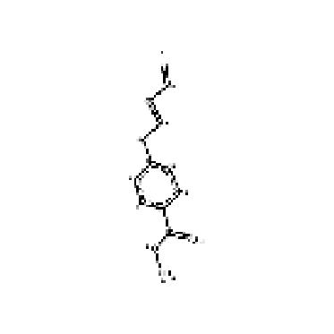 COC(=O)c1ccc(CC=CC=O)cc1